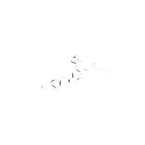 O=C(Nc1ccc(OC(F)(F)Cl)cc1)c1cnc(NCC(O)CCO)c(-c2ccn[nH]2)c1